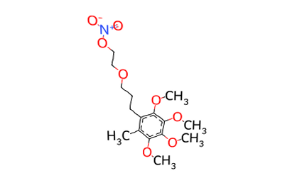 COc1c(C)c(CCCOCCO[N+](=O)[O-])c(OC)c(OC)c1OC